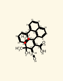 CC1(C)C=C(N)C(c2cccc3cccc(-c4ccccn4)c23)=C(C(=O)O)C1=C=O